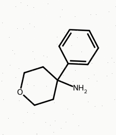 NC1(c2ccccc2)CCOCC1